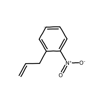 C=CCc1c[c]ccc1[N+](=O)[O-]